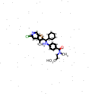 Cc1c(C(Nc2ccc(C(=O)N(C)CCC(=O)O)cc2)C2CCCCC2)sc2cnc(Cl)cc12